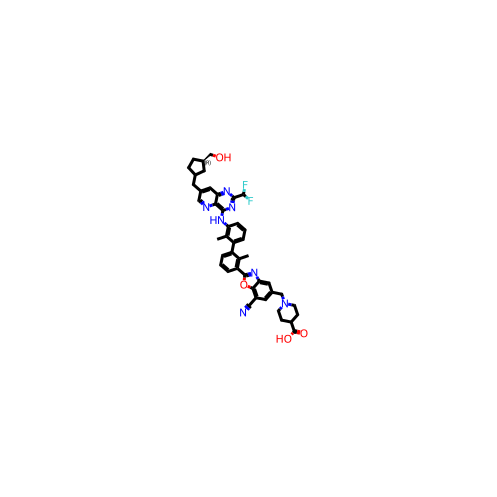 Cc1c(Nc2nc(C(F)F)nc3cc(CC4CC[C@@H](CO)C4)cnc23)cccc1-c1cccc(-c2nc3cc(CN4CCC(C(=O)O)CC4)cc(C#N)c3o2)c1C